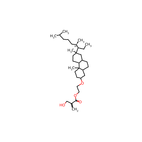 C=C(CO)C(=O)OCCOC1CCC2(C)C(CCC3CC(C)(C(CC)[C@H](C)CCCC(C)C)CCC32)C1